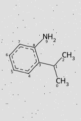 CC(C)c1c[c]ccc1N